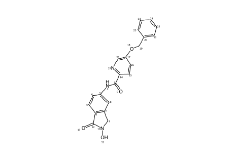 O=C(Nc1ccc2c(c1)CN(O)C2=O)c1ccc(OCc2ccccc2)cn1